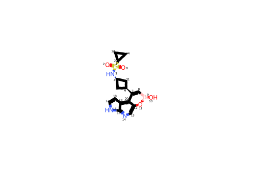 O=S(=O)(N[C@H]1C[C@H](C2=CB(O)Oc3cnc4[nH]ccc4c32)C1)C1CC1